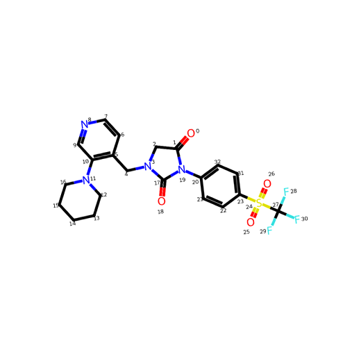 O=C1CN(Cc2ccncc2N2CCCCC2)C(=O)N1c1ccc(S(=O)(=O)C(F)(F)F)cc1